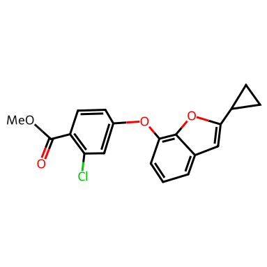 COC(=O)c1ccc(Oc2cccc3cc(C4CC4)oc23)cc1Cl